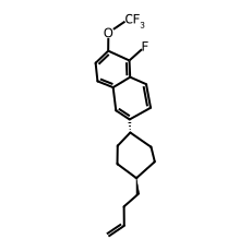 C=CCC[C@H]1CC[C@H](c2ccc3c(F)c(OC(F)(F)F)ccc3c2)CC1